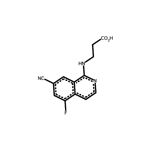 N#Cc1cc(F)c2ccnc(NCCC(=O)O)c2c1